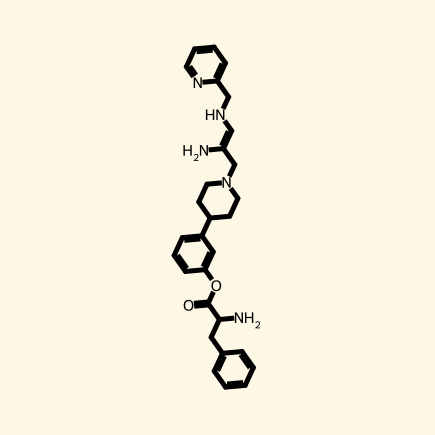 N/C(=C\NCc1ccccn1)CN1CCC(c2cccc(OC(=O)C(N)Cc3ccccc3)c2)CC1